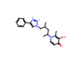 Cc1c(O)c(=O)ccn1C(C)CC(C)Cn1cc(-c2ccccc2)nn1